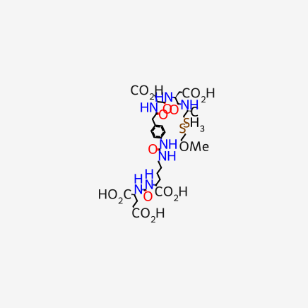 COCCSSC[C@@H](C)NC(=O)[C@H](CC(=O)O)NC(=O)[C@H](CC(=O)O)NC(=O)Cc1ccc(NC(=O)NCCCC[C@H](NC(=O)N[C@@H](CCC(=O)O)C(=O)O)C(=O)O)cc1